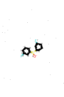 [O-][S+](c1cccc(F)c1)c1cccc(F)c1